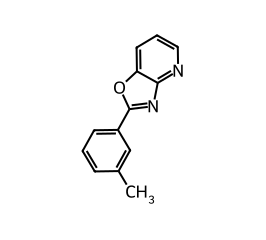 Cc1cccc(-c2nc3ncccc3o2)c1